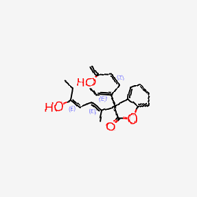 C=C(O)/C=C\C(=C/C)C1(/C(C)=C/C=C(/O)CC)C(=O)Oc2ccccc21